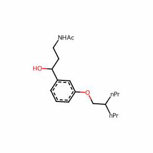 CCCC(CCC)COc1cccc(C(O)CCNC(C)=O)c1